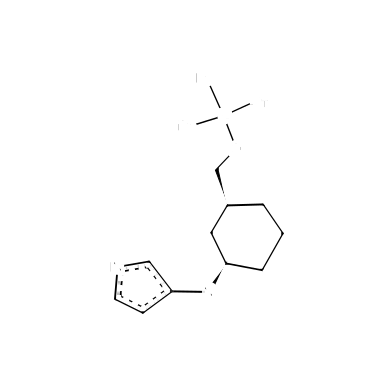 CC(C)[Si](OC[C@H]1CCC[C@@H](Nc2cc[nH]c2)C1)(C(C)C)C(C)C